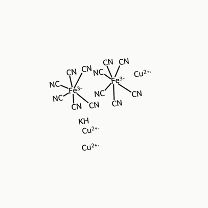 N#[C][Fe-3]([C]#N)([C]#N)([C]#N)([C]#N)[C]#N.N#[C][Fe-3]([C]#N)([C]#N)([C]#N)([C]#N)[C]#N.[Cu+2].[Cu+2].[Cu+2].[KH]